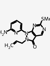 C=CCn1c(=O)c2cnc(SC)nc2n1-c1cccc(N)n1